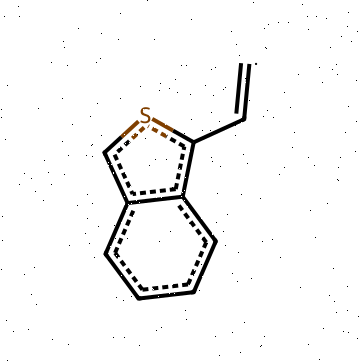 [CH]=Cc1scc2ccccc12